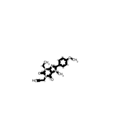 C#CCn1c(=O)c2c(nc(-c3ccc(OC)cc3)n2C)n(CC)c1=O